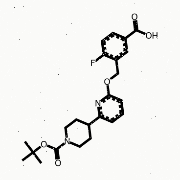 CC(C)(C)OC(=O)N1CCC(c2cccc(OCc3cc(C(=O)O)ccc3F)n2)CC1